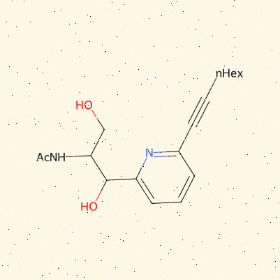 CCCCCCC#Cc1cccc(C(O)C(CO)NC(C)=O)n1